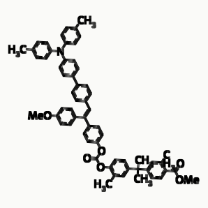 COC(=O)c1ccc(C(C)(C)c2ccc(OC(=O)Oc3ccc(C(=Cc4ccc(-c5ccc(N(c6ccc(C)cc6)c6ccc(C)cc6)cc5)cc4)c4ccc(OC)cc4)cc3)c(C)c2)cc1C